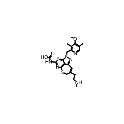 CNCCC1=Cc2nn(Cc3ncc(C)c(OC)c3C)c3nc(NC(=O)O)nc(c23)SC1